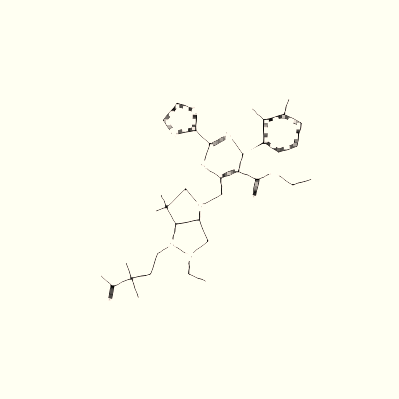 CCOC(=O)C1=C(CN2CC(F)(F)C3C2CN(CC)N3CCC(C)(C)C(=O)O)NC(c2nccs2)=N[C@H]1c1cccc(F)c1C